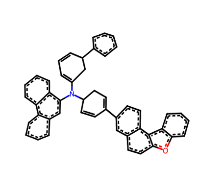 C1=CC(c2ccccc2)CC(N(c2cc3ccccc3c3ccccc23)C2C=CC(c3ccc4c(ccc5oc6ccccc6c54)c3)=CC2)=C1